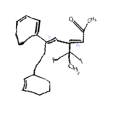 CC(=O)/C=C(\C=C(/CCC1C=CCCC1)C1=CC=CCC1)C(C)(I)I